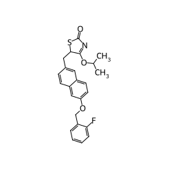 CC(C)OC1=NC(=O)SC1Cc1ccc2cc(OCc3ccccc3F)ccc2c1